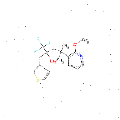 COc1ncccc1C(C)(C)CC(O)(CC1C=CSC1)C(F)(F)F